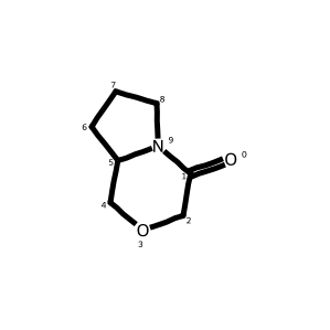 O=C1COCC2CCCN12